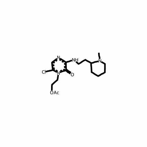 CC(=O)OCCn1c(Cl)cnc(NCCC2CCCCN2C)c1=O